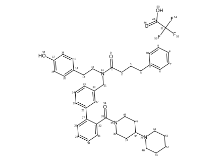 O=C(CCCc1ccccc1)N(CCc1ccc(O)cc1)Cc1cccc(-c2ccccc2C(=O)N2CCC(N3CCCCC3)CC2)c1.O=C(O)C(F)(F)F